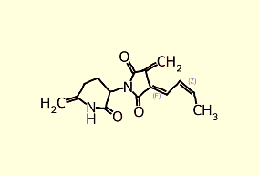 C=C1CCC(N2C(=O)C(=C)/C(=C\C=C/C)C2=O)C(=O)N1